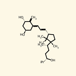 C=C1C(=CC=C[C@@H]2CC[C@](C)([C@@H](C)CC[C@H](O)C(C)C)C2(C)C)C[C@@H](O)C[C@@H]1O